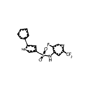 O=S(=O)(Nc1cc(C(F)(F)F)ncc1F)c1c[nH]c(-c2ccccc2)c1